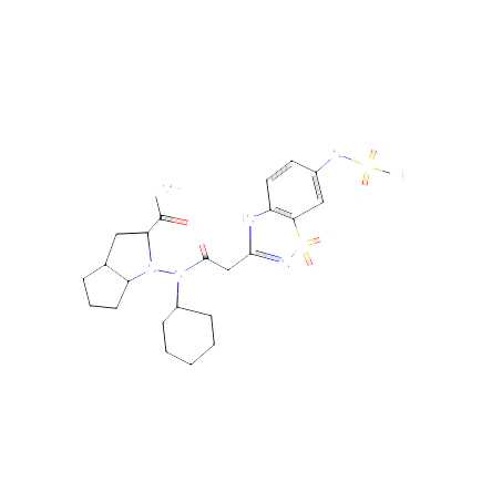 COC(=O)C1CC2CCCC2N1N(C(=O)CC1=NS(=O)(=O)c2cc(NS(C)(=O)=O)ccc2N1)C1CCCCC1